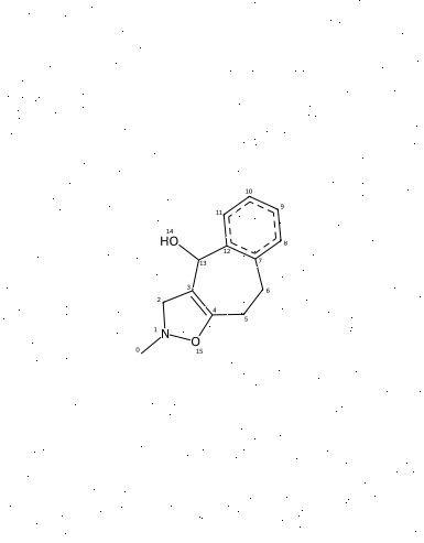 CN1CC2=C(CCc3ccccc3C2O)O1